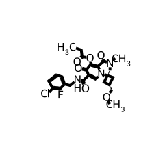 CCC(=O)Oc1c2n(cc(C(=O)NCc3cccc(Cl)c3F)c1=O)[C@]1(CN(C)C2=O)C[C@@H](COC)C1